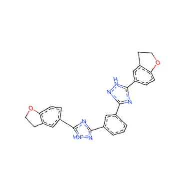 c1cc(-c2n[nH]c(-c3ccc4c(c3)CCO4)n2)cc(-c2n[nH]c(-c3ccc4c(c3)CCO4)n2)c1